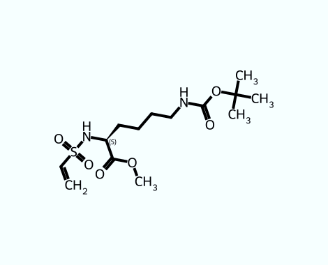 C=CS(=O)(=O)N[C@@H](CCCCNC(=O)OC(C)(C)C)C(=O)OC